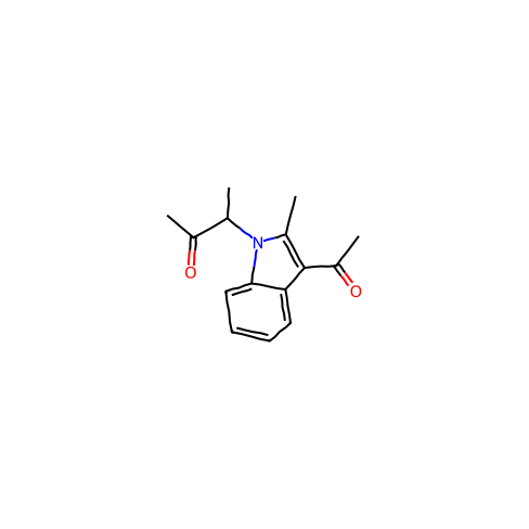 CC(=O)c1c(C)n(C(C)C(C)=O)c2ccccc12